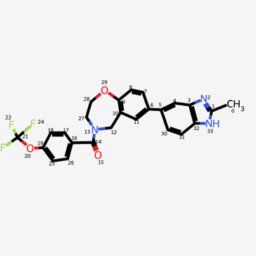 Cc1nc2cc(-c3ccc4c(c3)CN(C(=O)c3ccc(OC(F)(F)F)cc3)CCO4)ccc2[nH]1